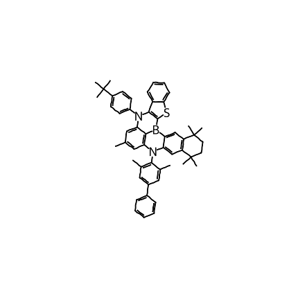 Cc1cc2c3c(c1)N(c1ccc(C(C)(C)C)cc1)c1c(sc4ccccc14)B3c1cc3c(cc1N2c1c(C)cc(-c2ccccc2)cc1C)C(C)(C)CCC3(C)C